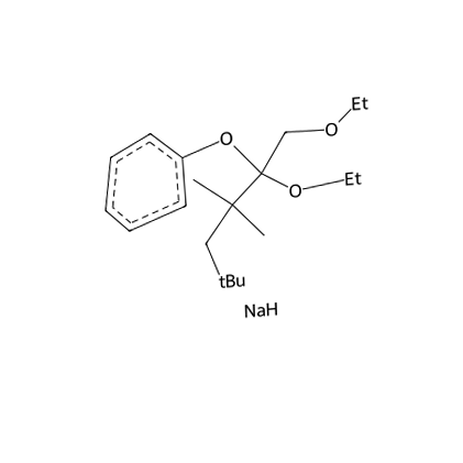 CCOCC(OCC)(Oc1ccccc1)C(C)(C)CC(C)(C)C.[NaH]